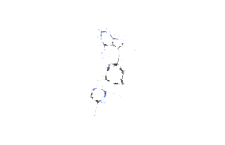 Cc1ccnc(Oc2ccc(-c3c(I)n(C)c4ncnc(N)c34)cc2Cl)n1